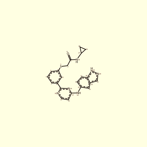 O=C(CSc1cccc(-c2nccc(Nc3ccc4[nH]ncc4c3)n2)c1)NC1CC1